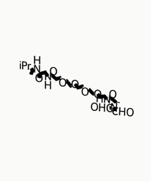 CC(C)C(C)NC(=O)CNC(=O)CCOCCOCCOCCOCCNC(=O)[C@H](C)N(C=O)C=O